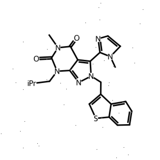 CC(C)Cn1c(=O)n(C)c(=O)c2c(-c3nccn3C)n(Cc3csc4ccccc34)nc21